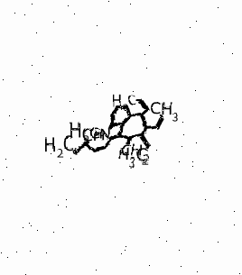 C=CC(=C)/C=C\c1c2c3c(cccc3n1C)C(/C=C\C)=C(/C=C\C)C(=C/C)/C2=C